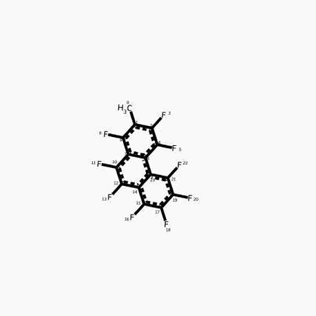 Cc1c(F)c(F)c2c(c1F)c(F)c(F)c1c(F)c(F)c(F)c(F)c12